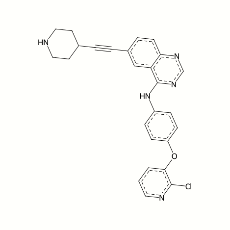 Clc1ncccc1Oc1ccc(Nc2ncnc3ccc(C#CC4CCNCC4)cc23)cc1